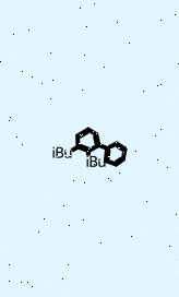 CCC(C)c1cccc(-c2ccccc2)c1C(C)CC